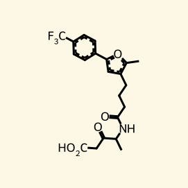 Cc1oc(-c2ccc(C(F)(F)F)cc2)cc1CCCC(=O)NC(C)C(=O)CC(=O)O